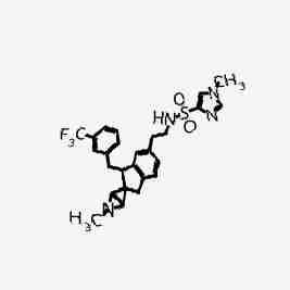 CN1C2C1C21Cc2ccc(CCNS(=O)(=O)c3cn(C)cn3)cc2C1Cc1cccc(C(F)(F)F)c1